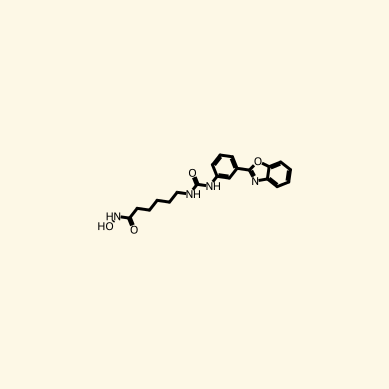 O=C(CCCCCNC(=O)Nc1cccc(-c2nc3ccccc3o2)c1)NO